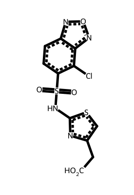 O=C(O)Cc1csc(NS(=O)(=O)c2ccc3nonc3c2Cl)n1